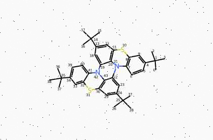 CC(C)(C)c1ccc2c(c1)sc1cc(C(C)(C)C)cc3c1-n2c1cc(C(C)(C)C)cc2sc4cc(C(C)(C)C)ccc4n3-c21